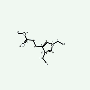 CCn1cc(CCC(=O)OC)[n+](CC)c1